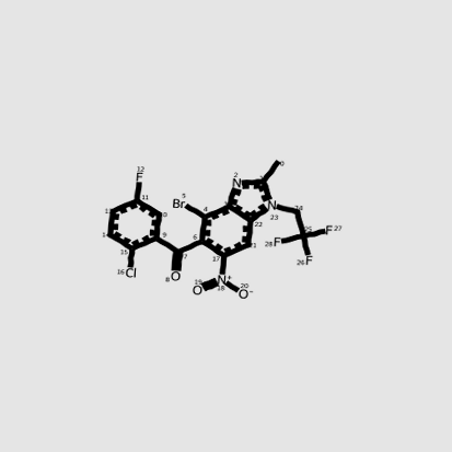 Cc1nc2c(Br)c(C(=O)c3cc(F)ccc3Cl)c([N+](=O)[O-])cc2n1CC(F)(F)F